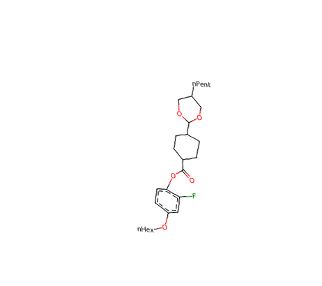 CCCCCCOc1ccc(OC(=O)C2CCC(C3OCC(CCCCC)CO3)CC2)c(F)c1